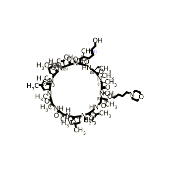 CC[C@@H]1NC(=O)[C@@H]2[C@@H]([C@H](C)C/C=C/CO)ON2C(=O)[C@H](C(C)C)N(C)C(=O)[C@H](CC(C)C)N(C)C(=O)[C@H](CC(C)C)N(C)C(=O)[C@@H](C)NC(=O)[C@H](C)NC(=O)[C@H](CC(C)C)N(C)C(=O)[C@H](C(C)C)NC(=O)[C@H]([C@@H](C)OCCCCN2CCOCC2)N(C)C(=O)[C@@H](C)N(C)C1=O